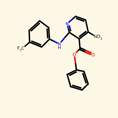 O=C(Oc1ccccc1)c1c([N+](=O)[O-])ccnc1Nc1cccc(C(F)(F)F)c1